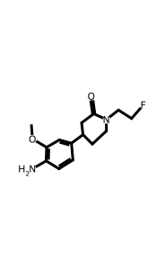 COc1cc(C2CCN(CCF)C(=O)C2)ccc1N